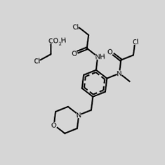 CN(C(=O)CCl)c1cc(CN2CCOCC2)ccc1NC(=O)CCl.O=C(O)CCl